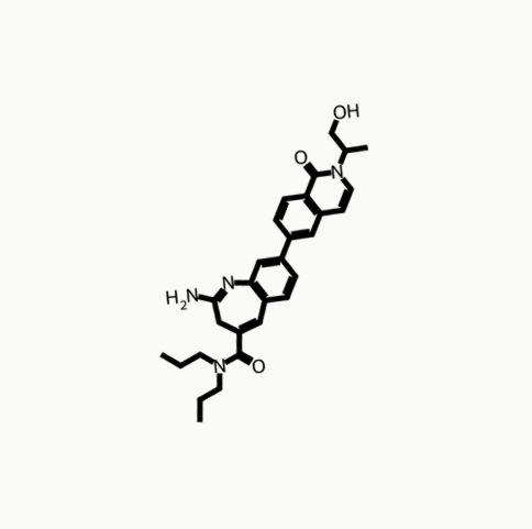 CCCN(CCC)C(=O)C1=Cc2ccc(-c3ccc4c(=O)n(C(C)CO)ccc4c3)cc2N=C(N)C1